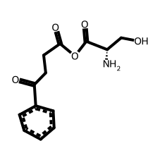 N[C@@H](CO)C(=O)OC(=O)CCC(=O)c1ccccc1